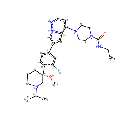 CCNC(=O)N1CCN(c2ccnn3cc(-c4ccc([C@]5(OC)CCCN(C(C)C)C5)c(F)c4)cc23)CC1